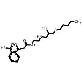 CCCCCOCC(O)CNCCNC(=O)Cc1nnc(S)c2ccccc12